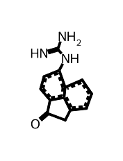 N=C(N)Nc1ccc2c3c(cccc13)CC2=O